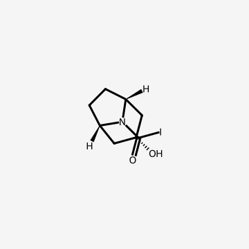 O=C(I)N1[C@@H]2CC[C@H]1C[C@@H](O)C2